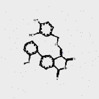 CSc1ccccc1-c1ccc2c(c1)/C(=C\NCc1ccc(O)c(O)c1)C(=O)NC2=O